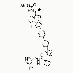 COC(=O)N[C@H](C(=O)N1CCC[C@H]1c1ncc(-c2ccc(-c3ccc(-c4cnc(C5C6CCC(C6)C5C(=O)NCc5cncc(C(C)C)c5)[nH]4)cc3)cc2)[nH]1)C(C)C